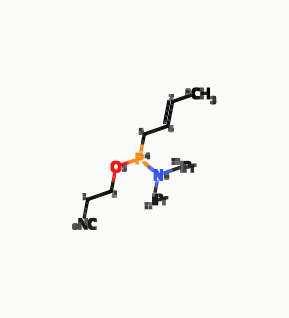 [C-]#[N+]CCOP(CC=CC)N(C(C)C)C(C)C